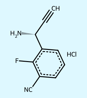 C#C[C@@H](N)c1cccc(C#N)c1F.Cl